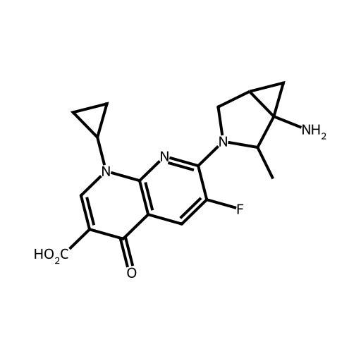 CC1N(c2nc3c(cc2F)c(=O)c(C(=O)O)cn3C2CC2)CC2CC21N